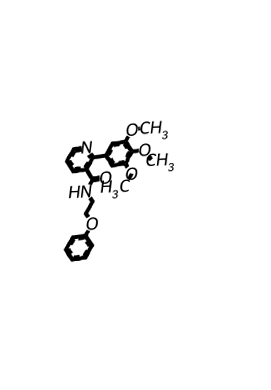 COc1cc(-c2ncccc2C(=O)NCCOc2ccccc2)cc(OC)c1OC